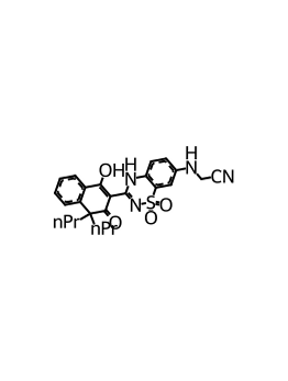 CCCC1(CCC)C(=O)C(C2=NS(=O)(=O)c3cc(NCC#N)ccc3N2)=C(O)c2ccccc21